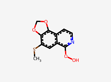 CSc1cc2c(OO)nccc2c2c1OCO2